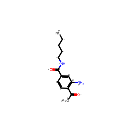 COC(=O)c1ccc(C(=O)NCCCCC#N)cc1N